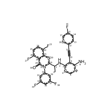 CC(Nc1ncnc(N)c1C#Cc1ccc(F)cn1)c1nc2c(F)ccc(F)c2c(=O)n1-c1cc(F)cc(F)c1